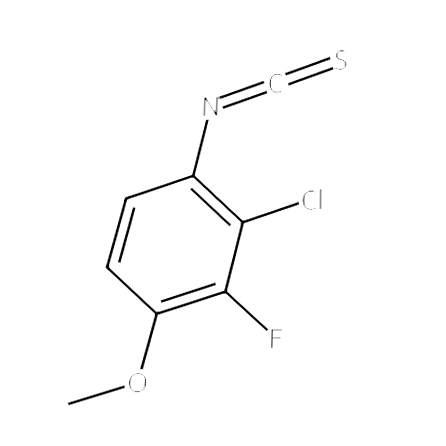 COc1ccc(N=C=S)c(Cl)c1F